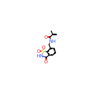 C=C(C)C(=O)NCc1cccc2c1S(=O)(=O)NC2=O